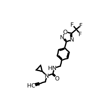 C#CCN(C(=O)NCc1ccc(-c2noc(C(F)(F)F)n2)cc1)C1CC1